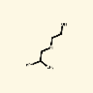 CCCC(C)CNCCO